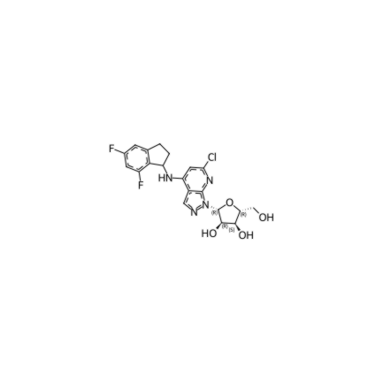 OC[C@H]1O[C@@H](n2ncc3c(NC4CCc5cc(F)cc(F)c54)cc(Cl)nc32)[C@H](O)[C@@H]1O